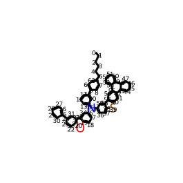 CCCCCCc1ccc(-c2cccc(N(c3ccc4oc5ccc(-c6ccccc6)cc5c4c3)c3ccc4sc5cc6c7ccccc7c7ccccc7c6cc5c4c3)c2)cc1